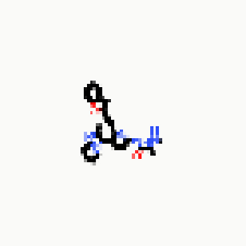 CNC(C)C(=O)Nc1ccc(-c2c(C)nc3ccccn23)c(C#Cc2cc3ccccc3o2)n1